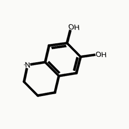 Oc1cc2c(cc1O)[N]CCC2